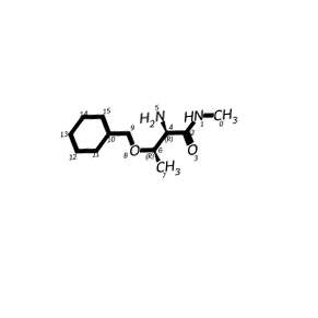 CNC(=O)[C@H](N)[C@@H](C)OCC1CCCCC1